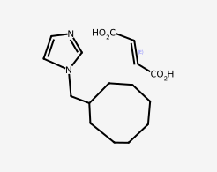 O=C(O)/C=C/C(=O)O.c1cn(CC2CCCCCCC2)cn1